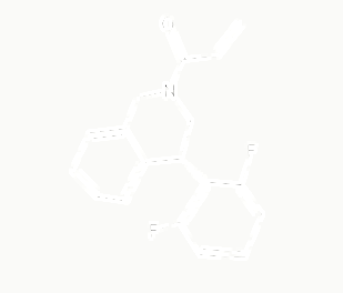 C=CC(=O)N1Cc2ccccc2[C@@H](c2c(F)cccc2F)C1